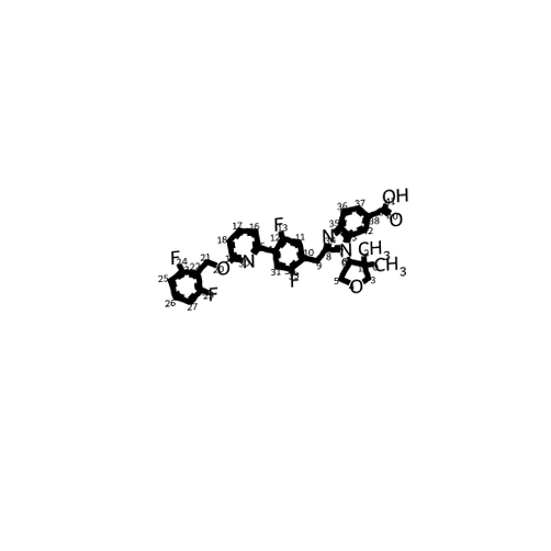 CC1(C)COC[C@H]1n1c(Cc2cc(F)c(-c3cccc(OCc4c(F)cccc4F)n3)cc2F)nc2ccc(C(=O)O)cc21